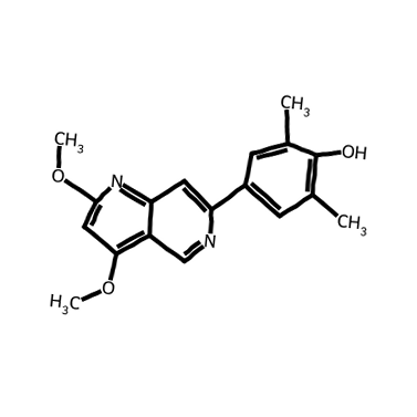 COc1cc(OC)c2cnc(-c3cc(C)c(O)c(C)c3)cc2n1